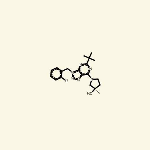 CC(C)(C)c1nc(N2CC[C@@](C)(O)C2)c2nnn(Cc3ccccc3Cl)c2n1